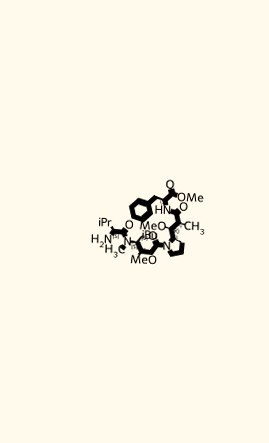 CC[C@H](C)[C@@H]([C@@H](CC(=O)N1CCC[C@H]1[C@H](OC)[C@@H](C)C(=O)N[C@@H](CC1=CCCC=C1)C(=O)OC)OC)N(C)C(=O)[C@@H](N)C(C)C